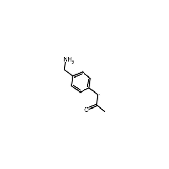 CC(=O)[CH]c1ccc(CN)cc1